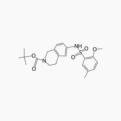 COc1ccc(C)cc1S(=O)(=O)Nc1ccc2c(c1)CCN(C(=O)OC(C)(C)C)C2